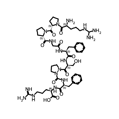 N=C(N)NCCC[C@@H](NC(=O)[C@H](Cc1ccccc1)NC(=O)N1CCCN1C(=O)[C@H](CO)NC(=O)[C@H](Cc1ccccc1)NC(=O)CNC(=O)[C@@H]1CCCN1C(=O)[C@@H]1CCCN1C(=O)[C@@H](N)CCCNC(N)N)C(=O)O